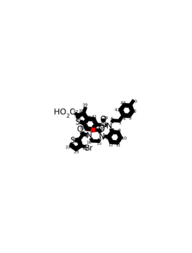 Cc1ccc(CCN(c2ccccc2N2CCN(C(=O)c3sccc3Br)CC2)S(=O)(=O)c2ccc3sc(C(=O)O)c(C)c3c2)cc1